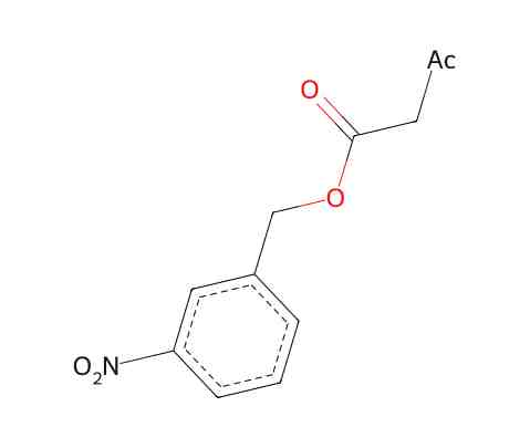 CC(=O)CC(=O)OCc1cccc([N+](=O)[O-])c1